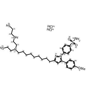 COc1ccc(-c2cc(CCCCCCCCCN(CCS)CCNCCS)nn2-c2ccc(S(N)(=O)=O)cc2)cc1.Cl.Cl